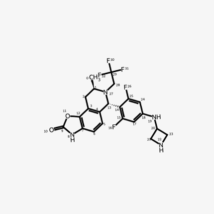 C[C@@H]1Cc2c(ccc3[nH]c(=O)oc23)[C@@H](c2c(F)cc(NC3CNC3)cc2F)N1CC(F)(F)F